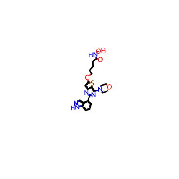 O=C(CCCCOc1cc2nc(-c3cccc4[nH]ncc34)nc(N3CCOCC3)c2s1)NO